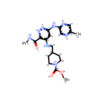 CC(C)NC(=O)c1nnc(Nc2cnc(C#N)cn2)cc1NCC1CCN(C(=O)OC(C)(C)C)CC1